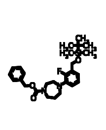 CC(C)(C)[Si](C)(C)OCc1cccc(N2CCCN(C(=O)OCc3ccccc3)CC2)c1F